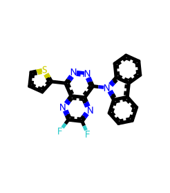 Fc1nc2c(-c3cccs3)nnc(-n3c4ccccc4c4ccccc43)c2nc1F